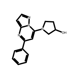 OC1CCN(c2cc(-c3ccccc3)nc3ccnn23)C1